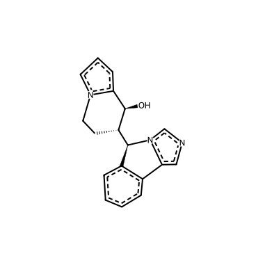 O[C@@H]1c2cccn2CC[C@H]1[C@@H]1c2ccccc2-c2cncn21